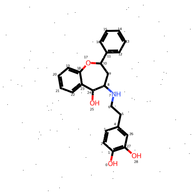 Oc1ccc(CCNC2CC(c3ccccc3)Oc3ccccc3C2O)cc1O